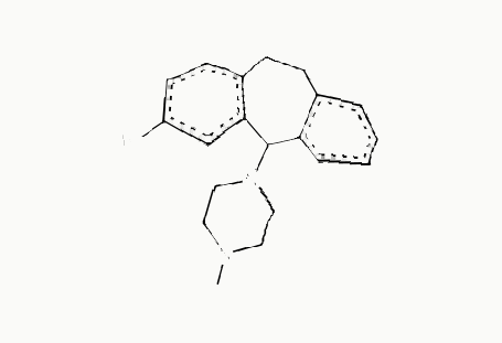 CN1CCN(C2c3ccccc3CCc3ccc(Br)cc32)CC1